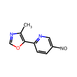 Cc1ncoc1-c1ccc(N=O)cn1